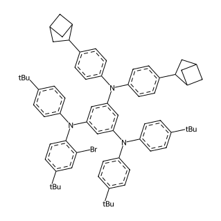 CC(C)(C)c1ccc(N(c2ccc(C(C)(C)C)cc2)c2cc(N(c3ccc(C4CC5CC4C5)cc3)c3ccc(C4CC5CC4C5)cc3)cc(N(c3ccc(C(C)(C)C)cc3)c3ccc(C(C)(C)C)cc3Br)c2)cc1